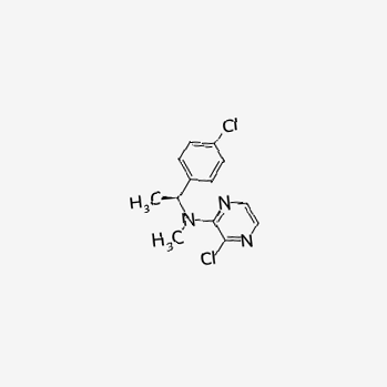 C[C@@H](c1ccc(Cl)cc1)N(C)c1nccnc1Cl